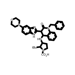 CC(C)(C)C1C(NC2c3ccccc3N(Cc3ccccc3)C(=O)C2c2nc3cc(N4CCOCC4)ccc3[nH]2)CCN1C(=O)O